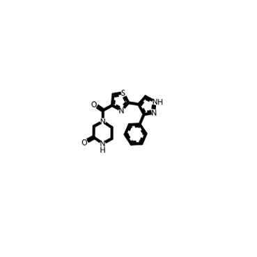 O=C1CN(C(=O)c2csc(-c3c[nH]nc3-c3ccccc3)n2)CCN1